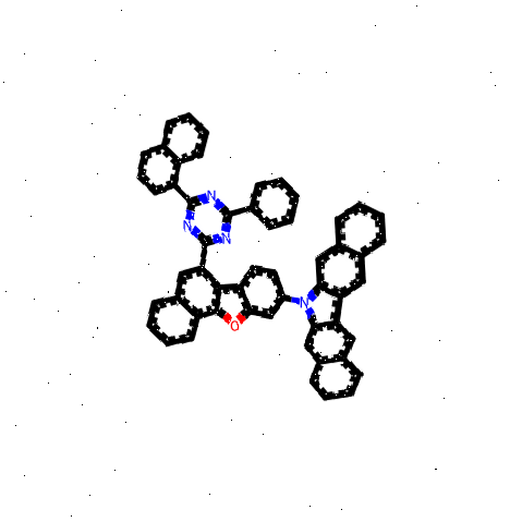 c1ccc(-c2nc(-c3cccc4ccccc34)nc(-c3cc4ccccc4c4oc5cc(-n6c7cc8ccccc8cc7c7cc8ccccc8cc76)ccc5c34)n2)cc1